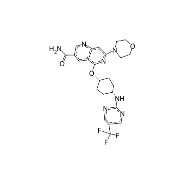 NC(=O)c1cnc2cc(N3CCOCC3)nc(O[C@H]3CC[C@@H](Nc4ncc(C(F)(F)F)cn4)CC3)c2c1